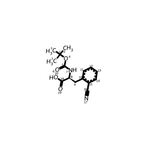 CC(C)(C)OC(=O)N[C@@H](Cc1ccccc1C#N)C(=O)O